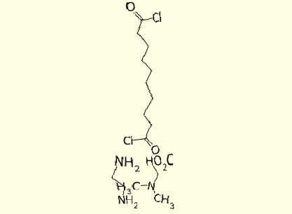 CN(C)CC(=O)O.NCCN.O=C(Cl)CCCCCCCCC(=O)Cl